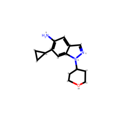 Nc1cc2cnn(C3CCOCC3)c2cc1C1CC1